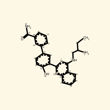 CCC(N)CNc1nc(-c2cc(-c3cccc(C(N)=O)c3)ccc2O)nc2ccccc12